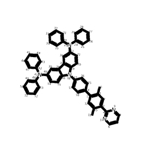 Cc1cc(-c2ncccn2)c(C)cc1-c1ccc(-n2c3ccc(N(c4ccccc4)c4ccccc4)cc3c3cc(N(c4ccccc4)c4ccccc4)ccc32)cc1